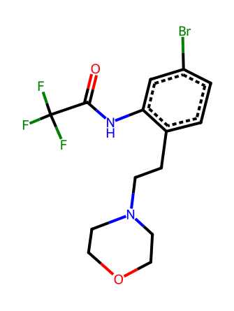 O=C(Nc1cc(Br)ccc1CCN1CCOCC1)C(F)(F)F